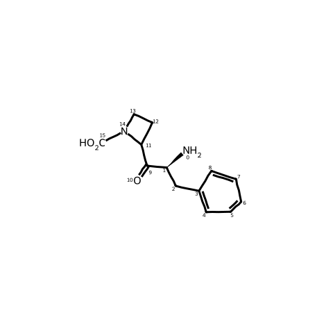 N[C@@H](Cc1ccccc1)C(=O)C1CCN1C(=O)O